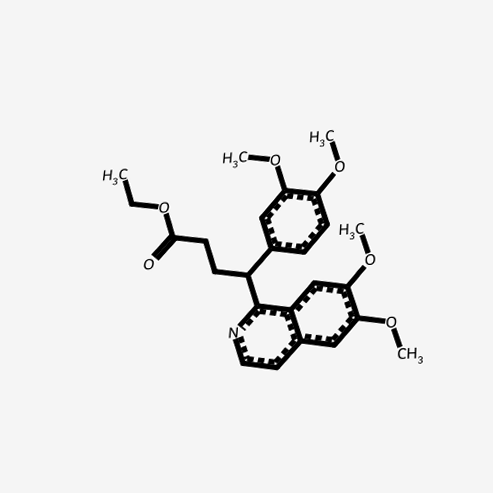 CCOC(=O)CCC(c1ccc(OC)c(OC)c1)c1nccc2cc(OC)c(OC)cc12